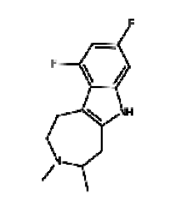 CC1Cc2[nH]c3cc(F)cc(F)c3c2CCN1C